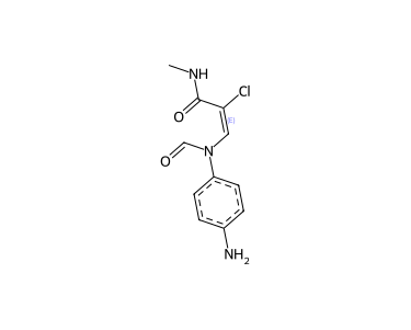 CNC(=O)/C(Cl)=C\N(C=O)c1ccc(N)cc1